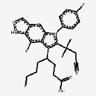 CC(C)(CC#N)c1c(C(CCCF)CCC(=O)O)c2c(F)c3[nH]ncc3cc2n1-c1ccc(F)cc1